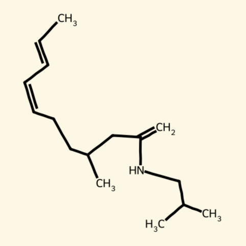 C=C(CC(C)CC/C=C\C=C\C)NCC(C)C